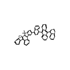 CC1(C)c2ccc(-c3ccc(-c4c5ccccc5c(-c5cccc6ccccc56)c5ccccc45)c4ccccc34)cc2-c2c1c1oc3ccccc3c1c1ccccc21